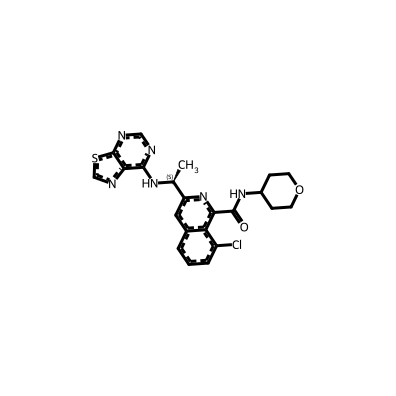 C[C@H](Nc1ncnc2scnc12)c1cc2cccc(Cl)c2c(C(=O)NC2CCOCC2)n1